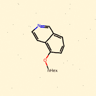 [CH2]CCCCCOc1cccc2cnccc12